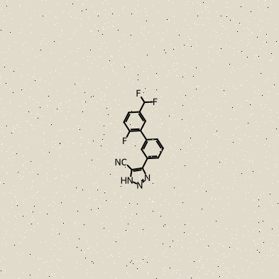 N#Cc1[nH]nnc1-c1cccc(-c2cc(C(F)F)ccc2F)c1